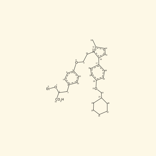 CCOC(Cc1ccc(OCCn2c(C)ccc2-c2ccc(OCC3CCCCC3)cc2)cc1)C(=O)O